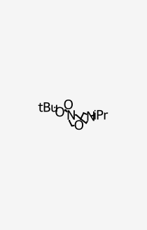 CC(C)N1CC2(CN(C(=O)OC(C)(C)C)CCO2)C1